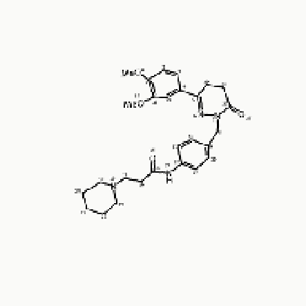 COc1ccc(C2=NN(Cc3ccc(NC(=O)CCN4CCCCC4)cc3)C(=O)CC2)cc1OC